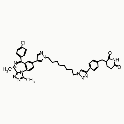 Cc1nnc2n1-c1ccc(-c3cnn(CCCCCCCCn4cc(-c5ccc(CC6CCC(=O)NC6=O)cc5)nn4)c3)cc1C(c1ccc(Cl)cc1)=N[C@H]2C